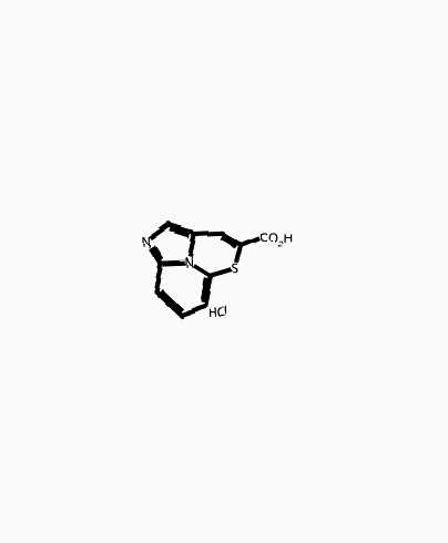 Cl.O=C(O)C1=Cc2cnc3cccc(n23)S1